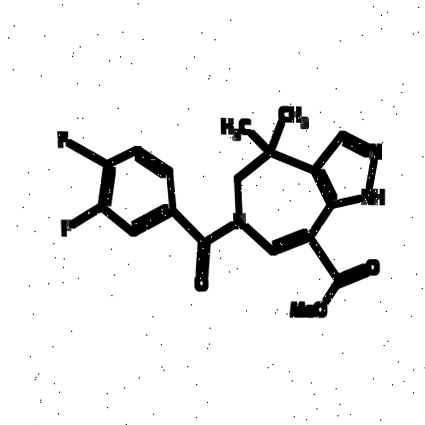 COC(=O)C1=CN(C(=O)c2ccc(F)c(F)c2)CC(C)(C)c2cn[nH]c21